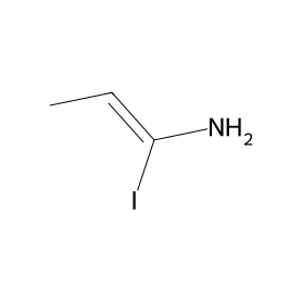 CC=C(N)I